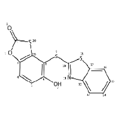 O=c1oc2ccc(O)c(Sc3nc4ccccc4s3)c2s1